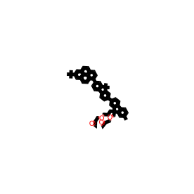 Cc1ccc2c(c1)C(CCCOCC1CO1)(COCC1CO1)c1cc(-c3ccc4c(c3)C(C)(C)c3cc(-c5ccc6ccc7cc(C(C)(C)C)cc8ccc5c6c78)ccc3-4)ccc1-2